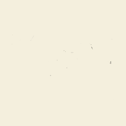 COCCOc1cc(C(=O)N(C(C)C)[C@@H]2CCCNC2)nc2c(OCC(=O)C3CC3)cccc12